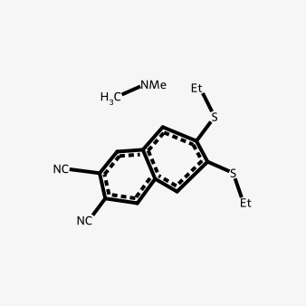 CCSc1cc2cc(C#N)c(C#N)cc2cc1SCC.CNC